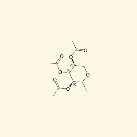 CC(=O)O[C@@H]1[C@@H](OC(C)=O)COC(C)[C@H]1OC(C)=O